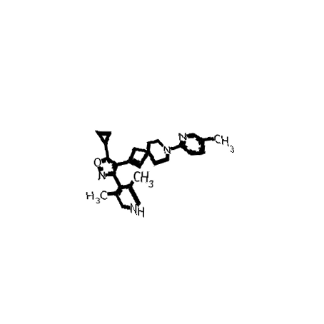 CC1=CNCC(C)=C1c1noc(C2CC2)c1C1=CC2(CCN(c3ccc(C)cn3)CC2)C1